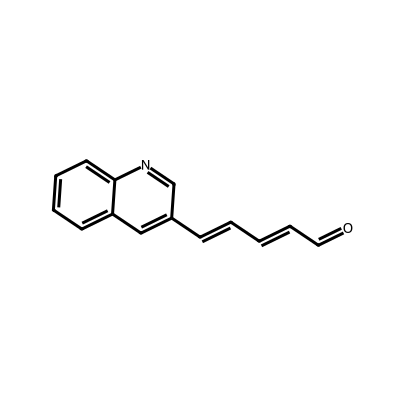 O=C/C=C/C=C/c1cnc2ccccc2c1